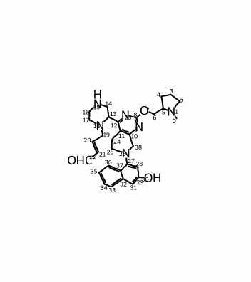 CN1CCCC1COc1nc2c(c(C3CNCCN3CC=CC=O)n1)CCN(c1cc(O)cc3ccccc13)C2